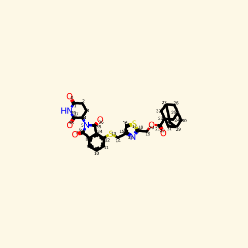 O=C1CCC(N2C(=O)c3cccc(SCc4csc(COC(=O)C56CC7CC(CC(C7)C5)C6)n4)c3C2=O)C(=O)N1